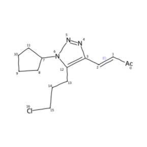 CC(=O)/C=C/c1nnn(C2CCCC2)c1CCCCl